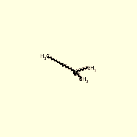 CCCCCCCCCCCCCCCCCCCN1C=CN(CCCC)C1CCCCCCCC